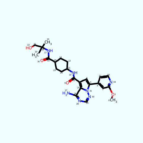 COc1cc(-c2cc(C(=O)NC3CCC(C(=O)NC(C)(C)CO)CC3)c3c(N)ncnn23)ccn1